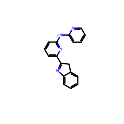 c1ccc(Nc2cccc(C3=Nc4ccccc4C3)n2)nc1